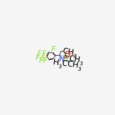 CC/C(=N\[S@+]([O-])C(C)(C)C)c1ccc(S(F)(F)(F)(F)F)cc1F